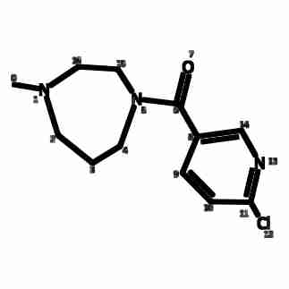 CN1CCCN(C(=O)c2ccc(Cl)nc2)CC1